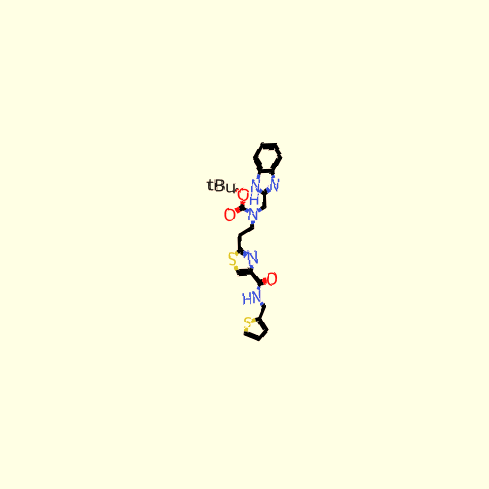 CC(C)(C)OC(=O)N(CCc1nc(C(=O)NCc2cccs2)cs1)Cc1nc2ccccc2[nH]1